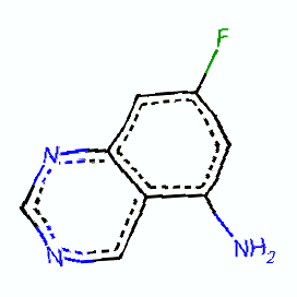 Nc1cc(F)cc2ncncc12